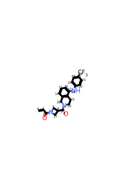 C=CC(=O)N1CC(C(=O)N2CCc3c(cccc3Nc3ccc(C(F)(F)F)cc3)C2)C1